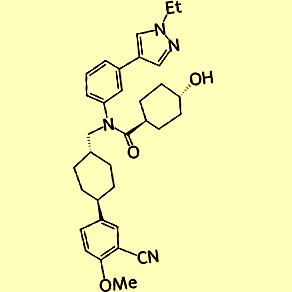 CCn1cc(-c2cccc(N(C[C@H]3CC[C@H](c4ccc(OC)c(C#N)c4)CC3)C(=O)[C@H]3CC[C@H](O)CC3)c2)cn1